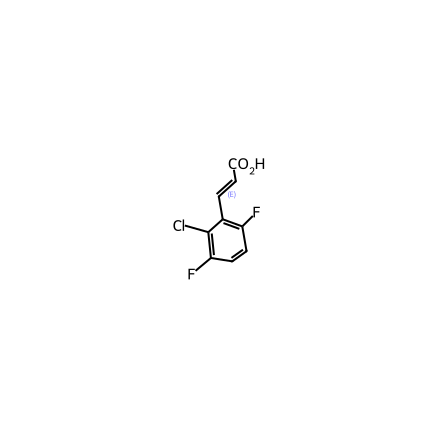 O=C(O)/C=C/c1c(F)ccc(F)c1Cl